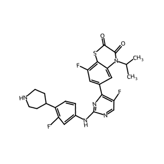 CC(C)n1c(=O)c(=O)sc2c(F)cc(-c3nc(Nc4ccc(C5CCNCC5)c(F)c4)ncc3F)cc21